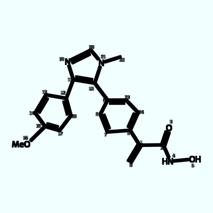 C=C(C(=O)NO)c1ccc(-c2c(-c3ccc(OC)cc3)ncn2C)cc1